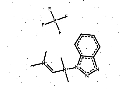 C[N+](C)=C[N+](C)(C)n1nnc2ccccc21.F[B-](F)(F)F